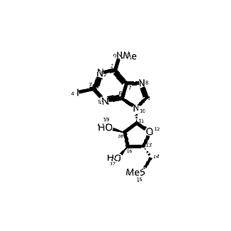 CNc1nc(I)nc2c1ncn2[C@@H]1O[C@H](CSC)[C@@H](O)[C@H]1O